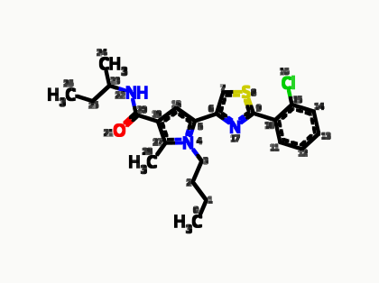 CCCCn1c(-c2csc(-c3ccccc3Cl)n2)cc(C(=O)NC(C)CC)c1C